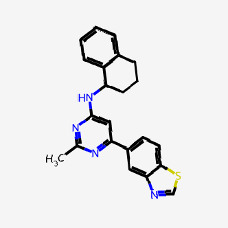 Cc1nc(NC2CCCc3ccccc32)cc(-c2ccc3scnc3c2)n1